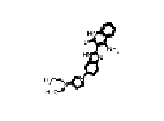 CCN(CC)C1CCN(c2ccc3nc(-c4c(N)c5ccccc5[nH]c4=O)[nH]c3c2)C1